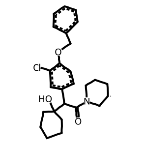 O=C(C(c1ccc(OCc2ccccc2)c(Cl)c1)C1(O)CCCCC1)N1C[CH]CCC1